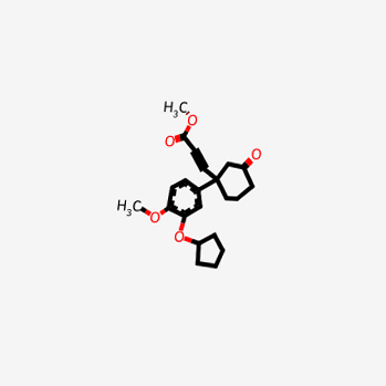 COC(=O)C#CC1(c2ccc(OC)c(OC3CCCC3)c2)CCCC(=O)C1